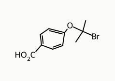 CC(C)(Br)Oc1ccc(C(=O)O)cc1